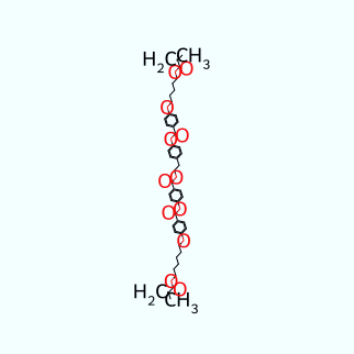 C=C(C)C(=O)OCCCCCCOc1ccc(C(=O)Oc2ccc(C(=O)OCCc3ccc(OC(=O)c4ccc(OCCCCCOC(=O)C(=C)C)cc4)cc3)cc2)cc1